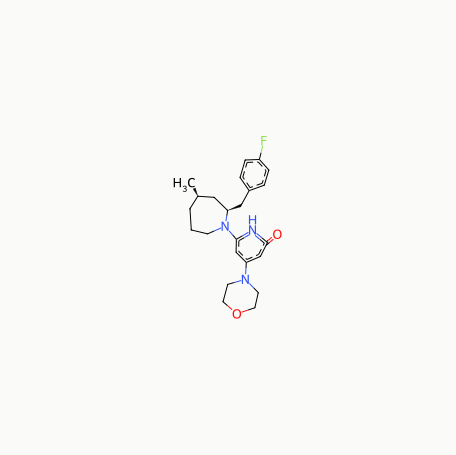 C[C@@H]1CCCN(c2cc(N3CCOCC3)cc(=O)[nH]2)[C@H](Cc2ccc(F)cc2)C1